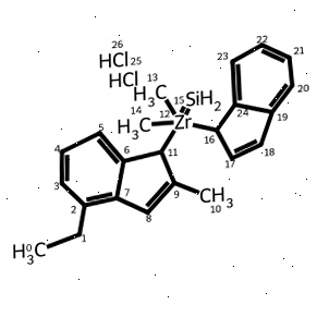 CCc1cccc2c1C=C(C)[CH]2[Zr]([CH3])([CH3])(=[SiH2])[CH]1C=Cc2ccccc21.Cl.Cl